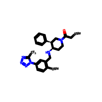 COc1ccc(-n2nnnc2C(F)(F)F)cc1CN[C@H]1CCN(C(=O)CSC)C[C@H]1c1ccccc1